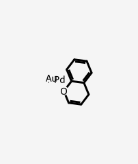 C1=COc2ccccc2C1.[Au].[Pd]